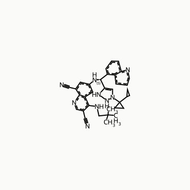 CC(C)(C)CNc1c(C#N)cnc2c(C#N)cc(N[C@H](C3=CN(C4(C5CC5)CC4)NN3)c3cccc4ncccc34)cc12